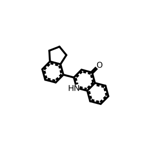 O=c1cc(-c2cccc3c2CCC3)[nH]c2ccccc12